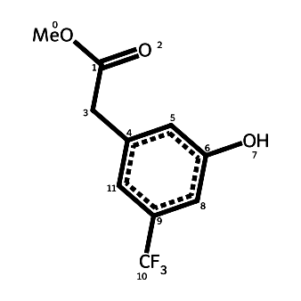 COC(=O)Cc1cc(O)cc(C(F)(F)F)c1